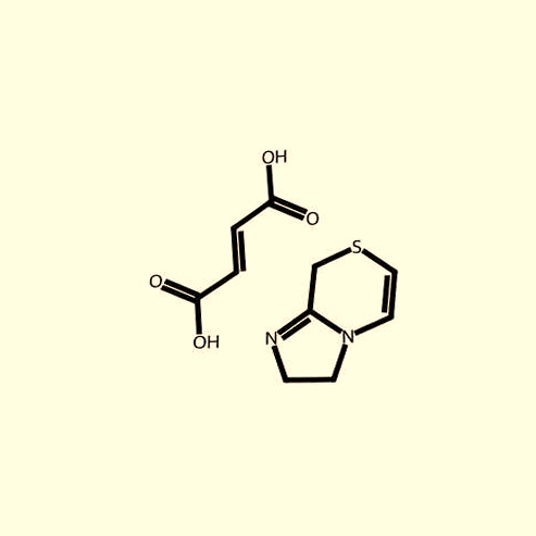 C1=CN2CCN=C2CS1.O=C(O)C=CC(=O)O